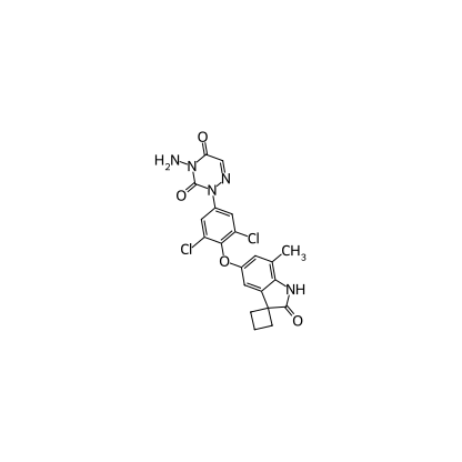 Cc1cc(Oc2c(Cl)cc(-n3ncc(=O)n(N)c3=O)cc2Cl)cc2c1NC(=O)C21CCC1